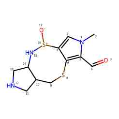 Cn1cc2c(c1C=O)SCC1CNCC1N[S+]2[O-]